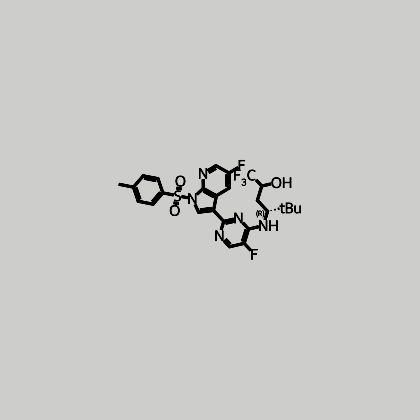 Cc1ccc(S(=O)(=O)n2cc(-c3ncc(F)c(N[C@H](CC(O)C(F)(F)F)C(C)(C)C)n3)c3cc(F)cnc32)cc1